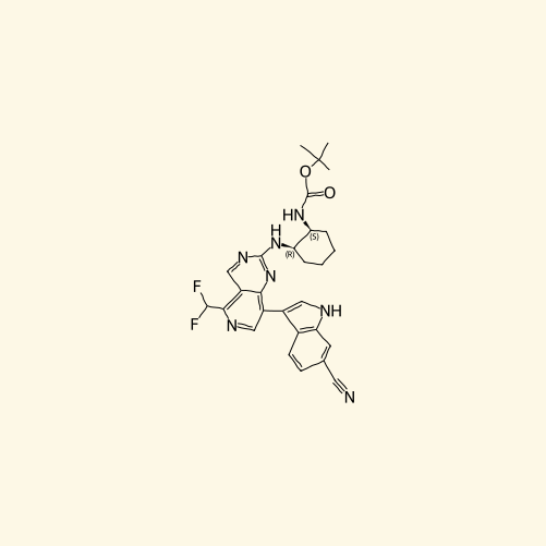 CC(C)(C)OC(=O)N[C@H]1CCCC[C@H]1Nc1ncc2c(C(F)F)ncc(-c3c[nH]c4cc(C#N)ccc34)c2n1